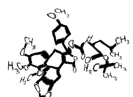 COc1ccc(C2(OC(=O)NC(CC(C)C)C(=O)OC(C)(C)C)OC(=O)C(c3ccc4c(c3)OCO4)=C2Cc2cc(OC)c(OC)c(OC)c2)cc1